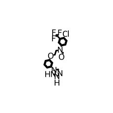 O=CN(CCOc1cccc(N2C=NNN2)c1)c1ccc(Cl)c(C(F)(F)F)c1